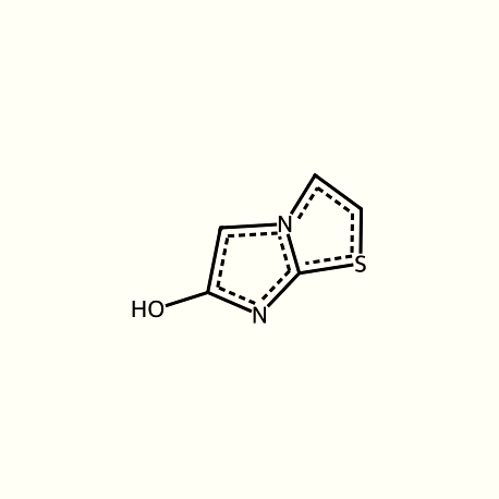 Oc1cn2ccsc2n1